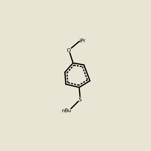 CCCCSc1ccc(OC(C)C)cc1